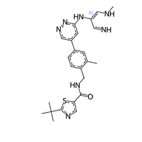 CN/C=C(\C=N)Nc1cc(-c2ccc(CNC(=O)c3cnc(C(C)(C)C)s3)c(C)c2)cnn1